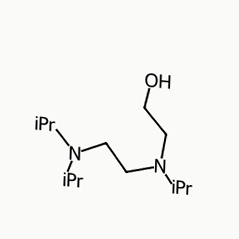 CC(C)N(CCO)CCN(C(C)C)C(C)C